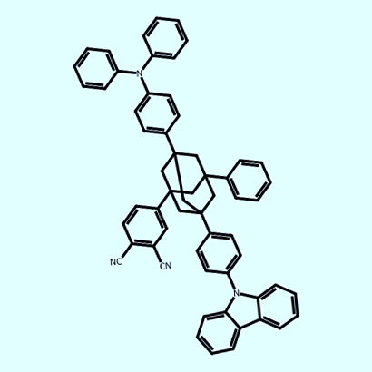 N#Cc1ccc(C23CC4(c5ccccc5)CC(c5ccc(N(c6ccccc6)c6ccccc6)cc5)(CC(c5ccc(-n6c7ccccc7c7ccccc76)cc5)(C4)C2)C3)cc1C#N